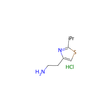 CC(C)c1nc(CCN)cs1.Cl